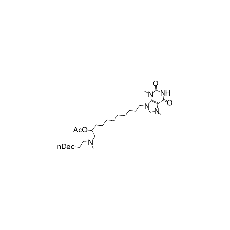 CCCCCCCCCCCCN(C)CC(CCCCCCCCCN1CN(C)c2c1n(C)c(=O)[nH]c2=O)OC(C)=O